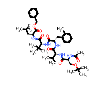 CC(=O)N[C@@H](COC(C)(C)C)C(=O)N[C@@H](C(=O)N[C@@H](Cc1ccccc1C)C(=O)N[C@H](C(=O)N[C@@H](CC(C)C)C(=O)OCc1ccccc1)C(C)(C)C)C(C)C